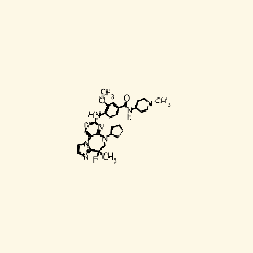 COc1cc(C(=O)NC2CCN(C)CC2)ccc1Nc1ncc2c(n1)N(C1CCCC1)CC(C)(F)c1nccn1-2